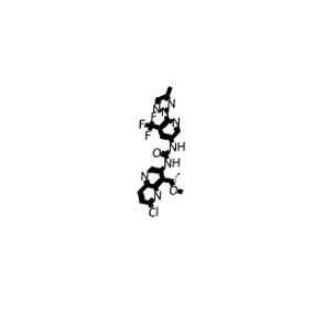 CO[C@@H](C)c1c(NC(=O)Nc2cnc(-n3ncc(C)n3)c(C(F)(F)F)c2)cnc2ccc(Cl)nc12